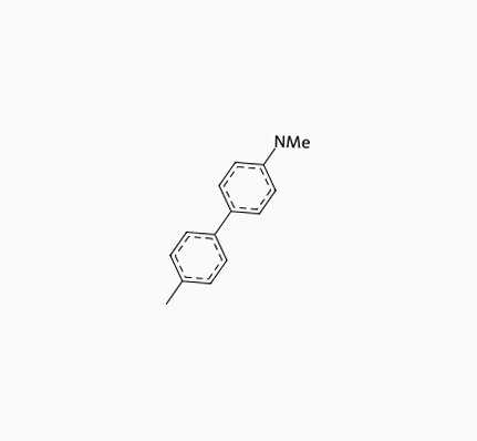 CNc1ccc(-c2ccc(C)cc2)cc1